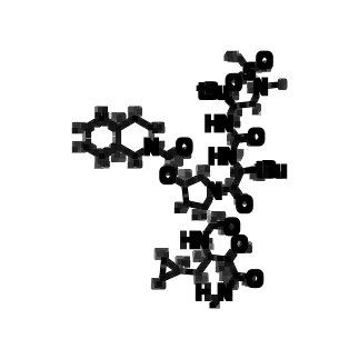 CN(C[C@@H](NC(=O)N[C@H](C(=O)N1CC(OC(=O)N2CCc3ccccc3C2)C[C@H]1C(=O)NC(CC1CC1)C(=O)C(N)=O)C(C)(C)C)C(C)(C)C)S(C)(=O)=O